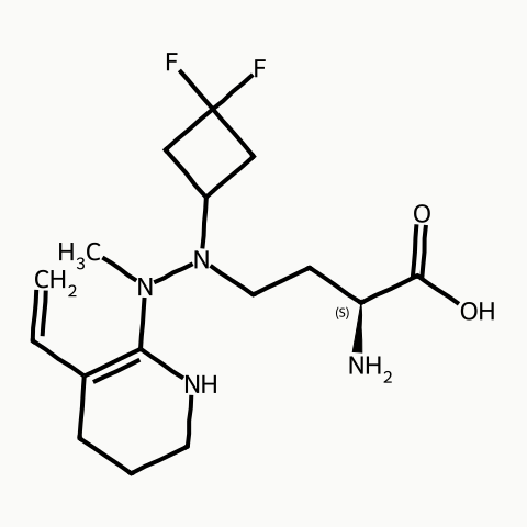 C=CC1=C(N(C)N(CC[C@H](N)C(=O)O)C2CC(F)(F)C2)NCCC1